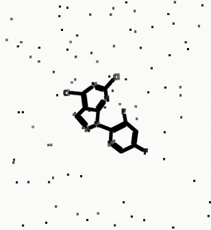 Fc1cnc(-n2ncc3c(Cl)nc(Cl)nc32)c(F)c1